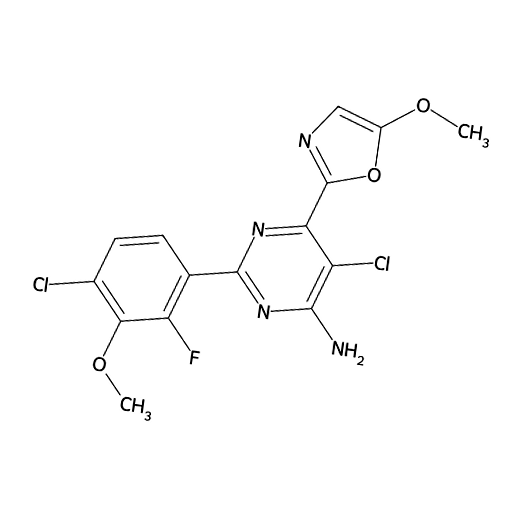 COc1cnc(-c2nc(-c3ccc(Cl)c(OC)c3F)nc(N)c2Cl)o1